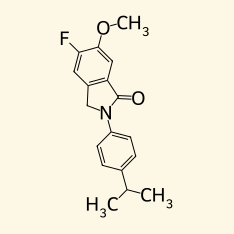 COc1cc2c(cc1F)CN(c1ccc(C(C)C)cc1)C2=O